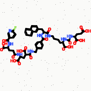 O=C(O)CCC(NC(=O)NC(CCCCNC(=O)C(Cc1ccc2ccccc2c1)NC(=O)c1ccc(CNC(=O)C(CC(NC(=O)CCC(NC(=O)c2ccc(F)nc2)C(=O)O)C(=O)O)C(=O)O)cc1)C(=O)O)C(=O)O